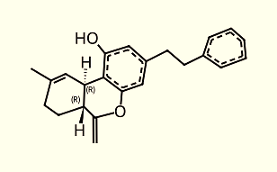 C=C1Oc2cc(CCc3ccccc3)cc(O)c2[C@@H]2C=C(C)CC[C@@H]12